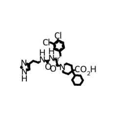 O=C(NCCc1c[nH]cn1)N[C@H](Cc1ccc(Cl)c(Cl)c1)C(=O)N1CCC(C(=O)O)(C2CCCCC2)CC1